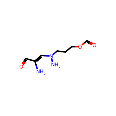 N/C(C=O)=C\N(N)CCCOC=O